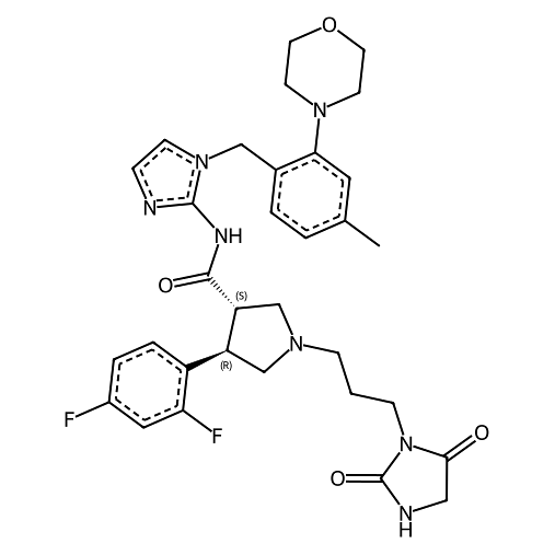 Cc1ccc(Cn2ccnc2NC(=O)[C@@H]2CN(CCCN3C(=O)CNC3=O)C[C@H]2c2ccc(F)cc2F)c(N2CCOCC2)c1